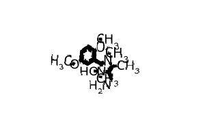 COc1ccc(OC)c(C2N(C)C(C)=C(CN)[N+]2(C)O)c1